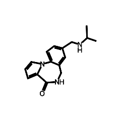 CC(C)NCc1ccc2c(c1)CNC(=O)c1cccn1-2